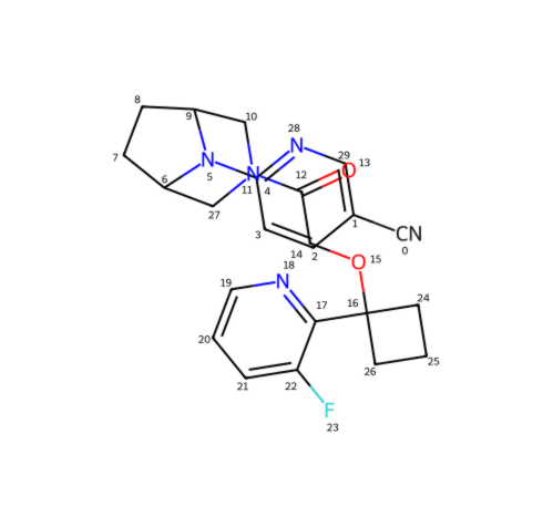 N#Cc1ccc(N2C3CCC2CN(C(=O)COC2(c4ncccc4F)CCC2)C3)nc1